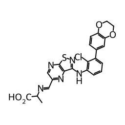 CC(N=Cc1cnc2snc(Nc3cccc(-c4ccc5c(c4)OCCO5)c3Cl)c2n1)C(=O)O